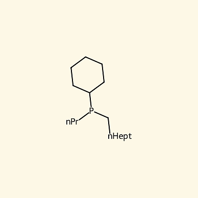 CCCCCCCCP(CCC)C1CCCCC1